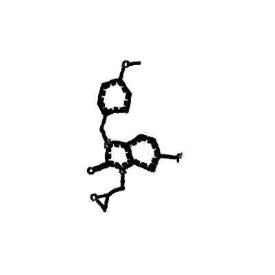 COc1ccc(Cn2c(=O)n(CC3CO3)c3cc(F)ccc32)cc1